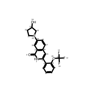 O=c1[nH]c(-c2ccccc2OC(F)(F)F)cc2ccc(N3CCC(O)C3)cc12